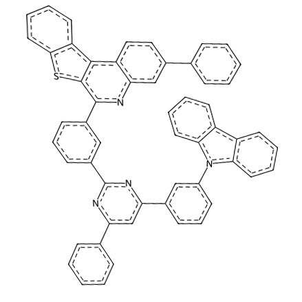 c1ccc(-c2ccc3c(c2)nc(-c2cccc(-c4nc(-c5ccccc5)cc(-c5cccc(-n6c7ccccc7c7ccccc76)c5)n4)c2)c2sc4ccccc4c23)cc1